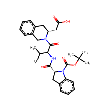 CC(C)[C@H](NC(=O)[C@H]1Cc2ccccc2N1C(=O)OC(C)(C)C)C(=O)N1Cc2ccccc2C[C@@H]1CC(=O)O